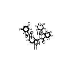 O=C(Nc1n[nH]c2c1CN(S(=O)(=O)c1cc(F)cc(F)c1)CC2)c1cccnc1NC1CCOCC1